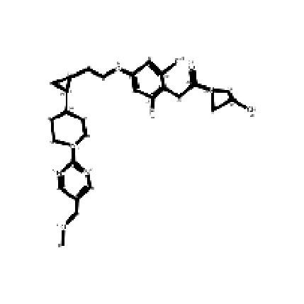 COCc1cnc(N2CCC([C@H]3CC3CCOc3cc(F)c(CC(=O)N4CC(O)C4)c(F)c3)CC2)nc1